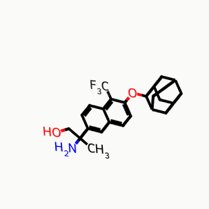 CC(N)(CO)c1ccc2c(C(F)(F)F)c(OC3C4CC5CC(C4)CC3C5)ccc2c1